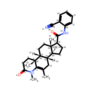 CC1=C2N(C)C(=O)CC[C@]2(C)[C@@H]2CC[C@]3(C)C(C(=O)Nc4ccccc4C#N)CC[C@H]3[C@@H]2C1